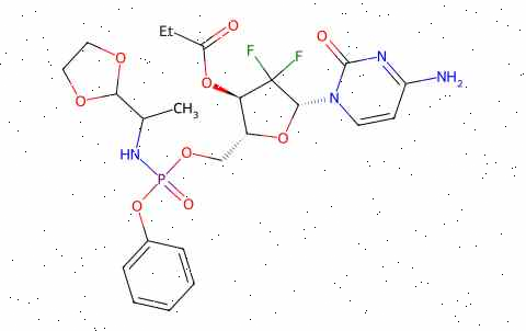 CCC(=O)O[C@@H]1[C@@H](COP(=O)(NC(C)C2OCCO2)Oc2ccccc2)O[C@@H](n2ccc(N)nc2=O)C1(F)F